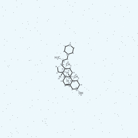 C[C@H](CN1CCOCC1)[C@H]1CC[C@H]2[C@@H]3CC=C4C[C@@H](O)CC[C@]4(C)[C@H]3CC[C@]12C